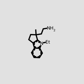 CCn1c2c(c3ccccc31)CCC2(C)CCN